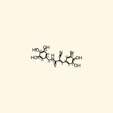 N#C/C(=C\c1cc(O)c(O)c(Br)c1)C(=S)NCc1cc(O)c(O)c(O)c1